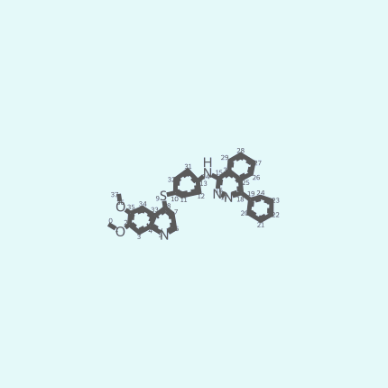 COc1cc2nccc(Sc3ccc(Nc4nnc(-c5ccccc5)c5ccccc45)cc3)c2cc1OC